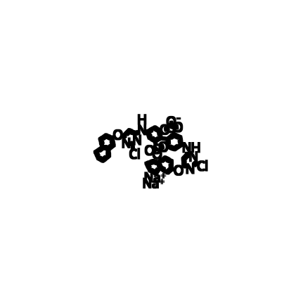 O=S(=O)([O-])c1cc(Nc2cc(Oc3ccc4ccccc4c3)nc(Cl)n2)ccc1-c1ccc(Nc2cc(Oc3ccc4ccccc4c3)nc(Cl)n2)cc1S(=O)(=O)[O-].[Na+].[Na+]